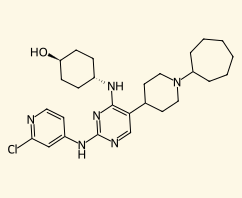 O[C@H]1CC[C@H](Nc2nc(Nc3ccnc(Cl)c3)ncc2C2CCN(C3CCCCCC3)CC2)CC1